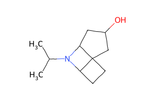 CC(C)N1C2CCC23CC(O)CC13